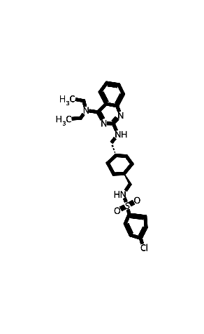 CCN(CC)c1nc(NC[C@H]2CC[C@H](CNS(=O)(=O)c3ccc(Cl)cc3)CC2)nc2ccccc12